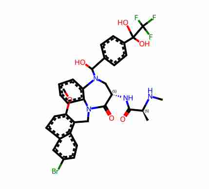 CN[C@@H](C)C(=O)N[C@H]1CN(C(O)c2ccc(C(O)(O)C(F)(F)F)cc2)c2ccccc2N(Cc2c(OC)ccc3cc(Br)ccc23)C1=O